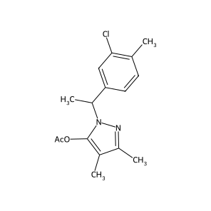 CC(=O)Oc1c(C)c(C)nn1C(C)c1ccc(C)c(Cl)c1